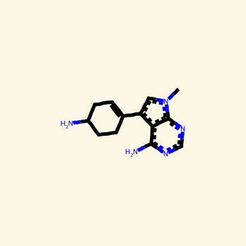 Cn1cc(C2=CCC(N)CC2)c2c(N)ncnc21